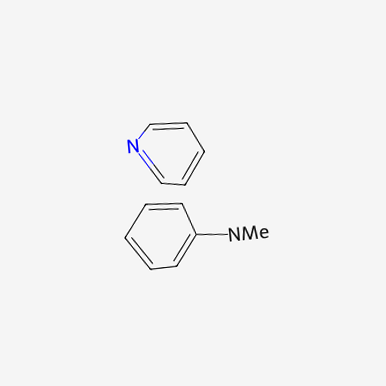 CNc1ccccc1.c1ccncc1